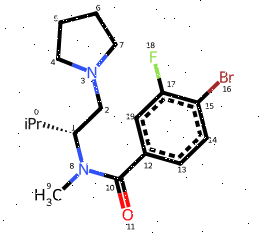 CC(C)[C@H](CN1CCCC1)N(C)C(=O)c1ccc(Br)c(F)c1